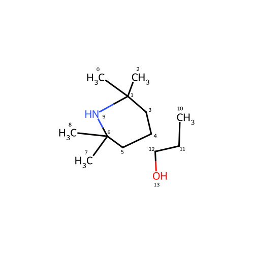 CC1(C)CCCC(C)(C)N1.CCCO